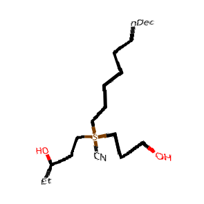 CCCCCCCCCCCCCCCCS(C#N)(CCCO)CCC(O)CC